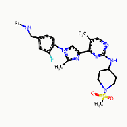 CCNCc1ccc(-n2cc(-c3nc(NC4CCN(S(C)(=O)=O)CC4)ncc3C(F)(F)F)nc2C)c(F)c1